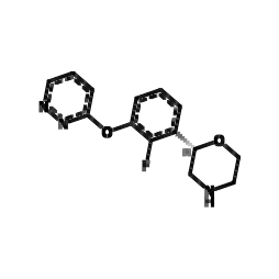 Fc1c(Oc2cccnn2)cccc1[C@H]1CNCCO1